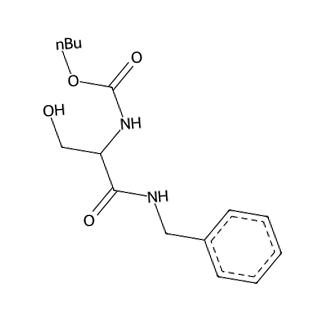 CCCCOC(=O)NC(CO)C(=O)NCc1ccccc1